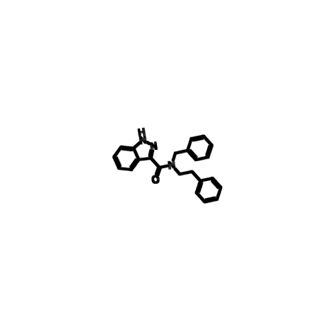 O=C(c1n[nH]c2ccccc12)N(CCc1ccccc1)Cc1ccccc1